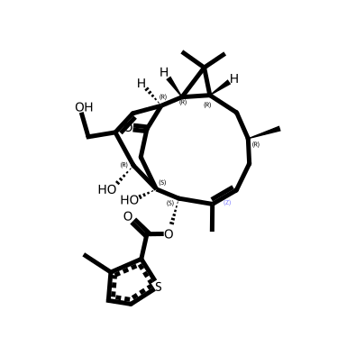 C/C1=C/C[C@H](C)C[C@@H]2[C@H]([C@@H]3C=C(CO)[C@@H](O)[C@@](O)(CC3=O)[C@H]1OC(=O)c1sccc1C)C2(C)C